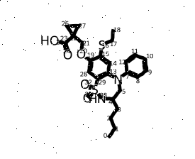 CCCCC1CN(c2ccccc2)c2cc(SCC)c(OCC3(C(=O)O)CC3)cc2S(=O)(=O)N1